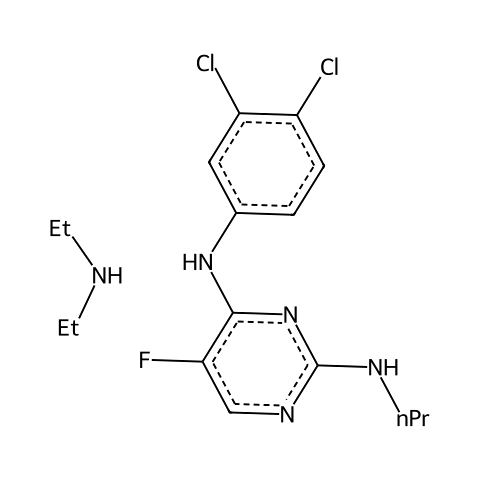 CCCNc1ncc(F)c(Nc2ccc(Cl)c(Cl)c2)n1.CCNCC